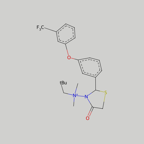 CC(C)(C)C[N+](C)(C)N1C(=O)CSC1c1cccc(Oc2cccc(C(F)(F)F)c2)c1